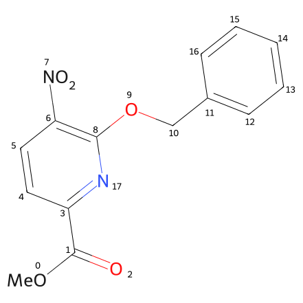 COC(=O)c1ccc([N+](=O)[O-])c(OCc2ccccc2)n1